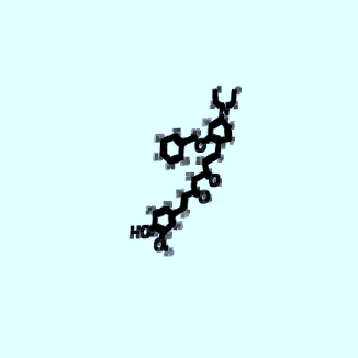 CCN(CC)c1ccc(C=CC(=O)CC(=O)C=Cc2ccc(O)c(OC)c2)c(OCc2ccccc2)c1